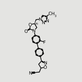 Cc1cn(C[C@H]2CN(c3ccc(-c4ccc(C5=NOC(CC#N)C5)cc4)c(F)c3)C(=O)O2)nn1